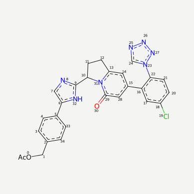 CC(=O)OCc1ccc(-c2cnc(C3CCc4cc(-c5cc(Cl)ccc5-n5cnnn5)cc(=O)n43)[nH]2)cc1